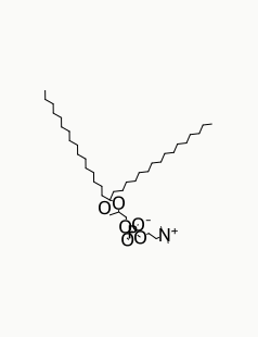 CCCCCCCCCCCCCCCCC1(CCCCCCCCCCCCCCCC)OCC(COP(=O)([O-])OCC[N+](C)(C)C)O1